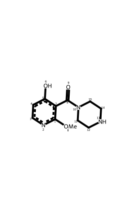 COc1nccc(O)c1C(=O)N1CCNCC1